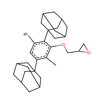 Cc1c(C23CC4CC(CC(C4)C2)C3)cc(C(C)C)c(C23CC4CC(CC(C4)C2)C3)c1OCC1CO1